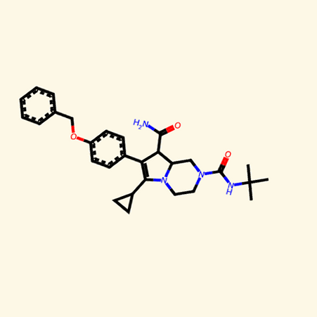 CC(C)(C)NC(=O)N1CCN2C(C3CC3)=C(c3ccc(OCc4ccccc4)cc3)C(C(N)=O)C2C1